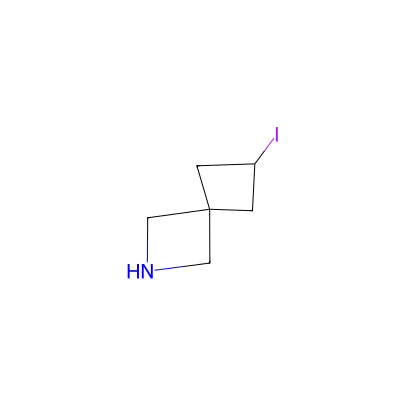 IC1CC2(CNC2)C1